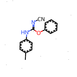 Cc1ccc(N/C(=N/C#N)Oc2ccccc2)cc1